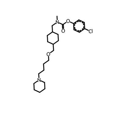 CN(CC1CCC(COCCCCN2CCCCC2)CC1)C(=O)Oc1ccc(Cl)cc1